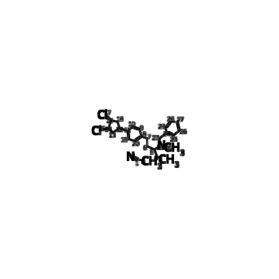 CC#N.CCC(CCc1ccc(C2CC(Cl)C(Cl)C2)cc1)N(C)Cc1ccccc1